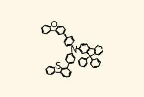 C1=CC2=C(CC1)c1ccc(N(c3ccc(-c4ccc5oc6ccccc6c5c4)cc3)c3ccc(-c4cccc5c4sc4ccccc45)cc3)cc1C2(c1ccccc1)c1ccccc1